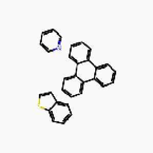 c1ccc2c(c1)c1ccccc1c1ccccc21.c1ccc2sccc2c1.c1ccncc1